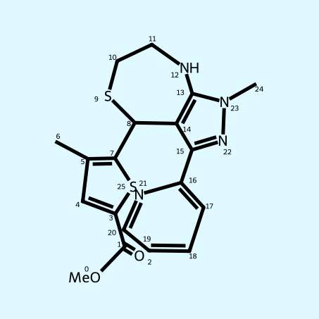 COC(=O)c1cc(C)c(C2SCCNc3c2c(-c2ccccn2)nn3C)s1